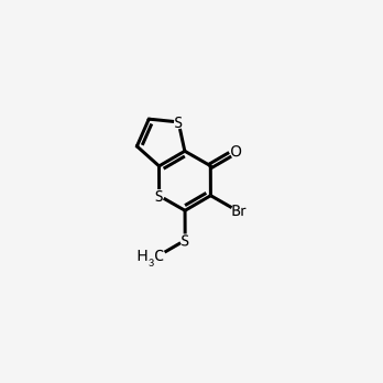 CSc1sc2ccsc2c(=O)c1Br